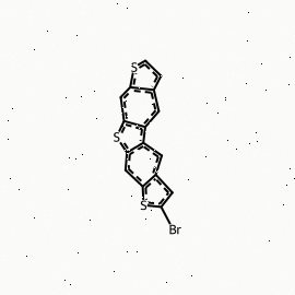 Brc1cc2cc3c(cc2s1)sc1cc2sccc2cc13